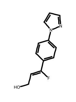 OCC=C(F)c1ccc(-n2cccn2)cc1